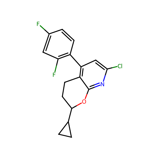 Fc1ccc(-c2cc(Cl)nc3c2CCC(C2CC2)O3)c(F)c1